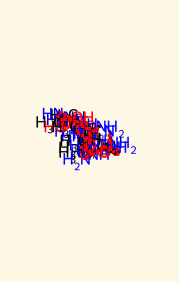 CC(C)[C@H](NC(=O)[C@H](CC(N)=O)NC(=O)CNC(=O)[C@H](C)NC(=O)[C@H](Cc1ccccc1)NC(=O)[C@@H](N)CCCCN)C(=O)N[C@H](C(=O)N[C@@H](CCCNC(=N)N)C(=O)N[C@@H](CCCCN)C(=O)N[C@@H](CS)C(=O)N[C@H](C(=O)N[C@H](C(=O)N[C@@H](Cc1c[nH]cn1)C(=O)N[C@@H](C)C(=O)O)[C@@H](C)O)C(C)C)C(C)C